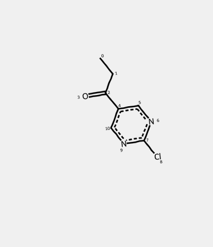 CCC(=O)c1cnc(Cl)nc1